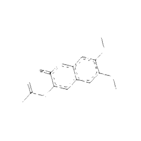 COc1cc2cc(NC(C)=O)c(=O)oc2cc1OC